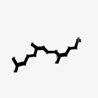 CC(C)=CCCC(C)=CCCC(C)=CCCC#N